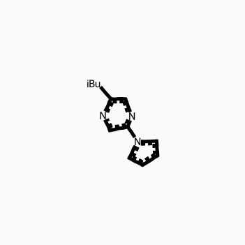 CCC(C)c1cnc(-n2cccc2)cn1